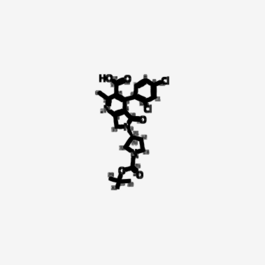 Cc1nc2c(c(-c3ccc(Cl)cc3Cl)c1C(=O)O)C(=O)N([C@H]1CCN(C(=O)OC(C)(C)C)C1)C2